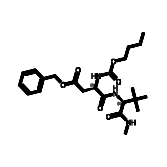 CCCCOC(=O)N[C@H](CC(=O)OCc1ccccc1)C(=O)N[C@H](C(=O)NC)C(C)(C)C